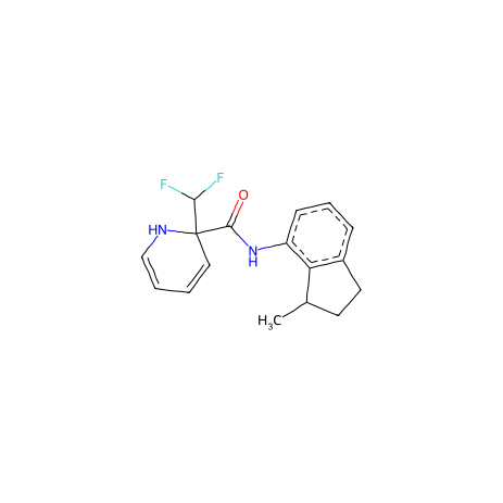 CC1CCc2cccc(NC(=O)C3(C(F)F)C=CC=CN3)c21